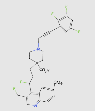 COc1ccc2ncc(CF)c(C(F)CCC3(C(=O)O)CCN(CC#Cc4cc(F)cc(F)c4F)CC3)c2c1